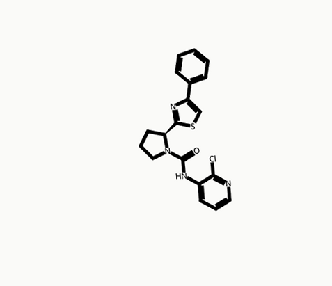 O=C(Nc1cccnc1Cl)N1CCC[C@H]1c1nc(-c2ccccc2)cs1